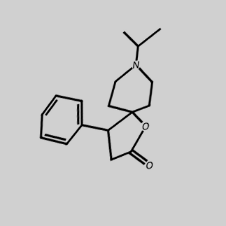 CC(C)N1CCC2(CC1)OC(=O)CC2c1ccccc1